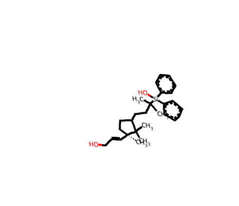 CC1(C)C(CCC(C)(C)[Si](O)(c2ccccc2)c2ccccc2)CC[C@]1(C)/C=C/CO